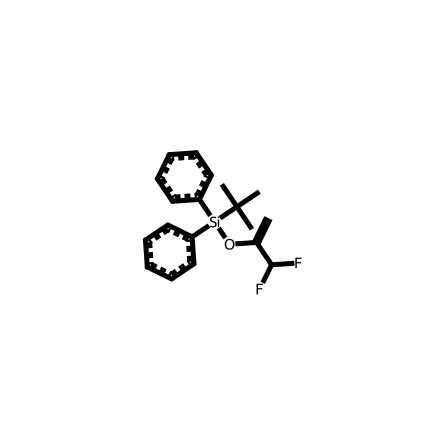 C=C(O[Si](c1ccccc1)(c1ccccc1)C(C)(C)C)C(F)F